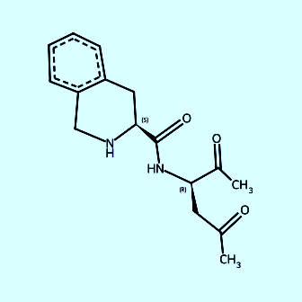 CC(=O)C[C@@H](NC(=O)[C@@H]1Cc2ccccc2CN1)C(C)=O